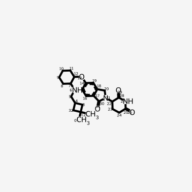 CC1(C)CC(CNC2CCCCC2Oc2ccc3c(c2)CN(C2CCC(=O)NC2=O)C3=O)C1